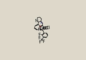 Cl.Cl.Fc1c(-c2ccc(/C=C3/CCCN=C3c3cccnc3)o2)cccc1C(F)(F)F